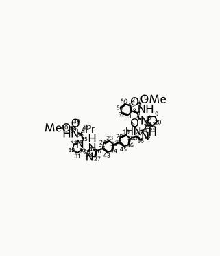 COC(=O)N[C@@H](C(=O)N1C2CC[C@@H](C2)[C@H]1c1ncc(-c2ccc(-c3ccc(-c4cnc([C@@H]5CCCN5C[C@@H](NC(=O)OC)C(C)C)[nH]4)cc3)cc2)[nH]1)c1ccccc1